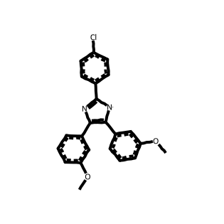 COc1cccc(C2=C(c3cccc(OC)c3)N=C(c3ccc(Cl)cc3)[N]2)c1